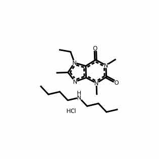 CCCCNCCCC.CCn1c(C)nc2c1c(=O)n(C)c(=O)n2C.Cl